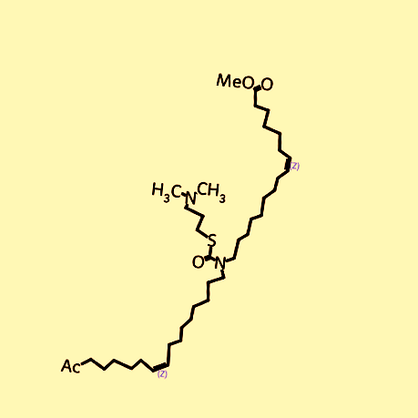 COC(=O)CCCCC/C=C\CCCCCCCCN(CCCCCCCC/C=C\CCCCCC(C)=O)C(=O)SCCCN(C)C